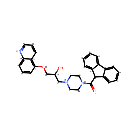 O=C(C1c2ccccc2-c2ccccc21)N1CCN(CC(O)COc2cccc3ncccc23)CC1